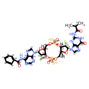 CC(C)C(=O)Nc1nc2c(ncn2[C@@H]2O[C@@H]3COP(=O)(S)O[C@H]4[C@@H](F)[C@H](n5cnc6c(NC(=O)c7ccccc7)ncnc65)O[C@@H]4CO[P@@](=O)(S)O[C@H]3[C@H]2F)c(=O)[nH]1